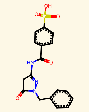 O=C(NC1=NN(Cc2ccccc2)C(=O)C1)c1ccc(S(=O)(=O)O)cc1